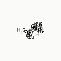 Cc1ccc2c(c1)[C@]1(C[C@H]1c1ccc3c(Nc4nc(C5CC5)nc(N5CCOCC5)c4C)nn(C(=O)OC(C)(C)C)c3c1)C(=O)N2C(=O)OC(C)(C)C